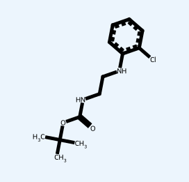 CC(C)(C)OC(=O)NCCNc1ccccc1Cl